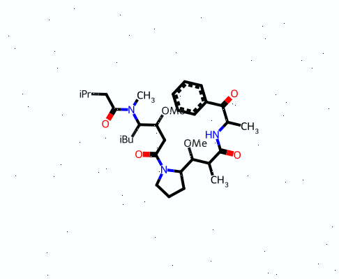 CCC(C)C(C(CC(=O)N1CCCC1C(OC)C(C)C(=O)NC(C)C(=O)c1ccccc1)OC)N(C)C(=O)CC(C)C